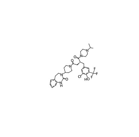 CC(C)N1CCN(C(=O)[C@H](CC(=O)N2CCC(N3CCc4ccccc4NC3=O)CC2)Cc2cc(Cl)c(O)c(C(F)(F)F)c2)CC1